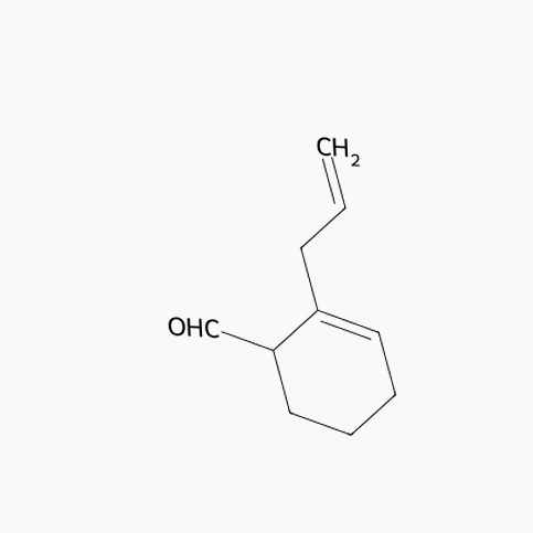 C=CCC1=CCCCC1C=O